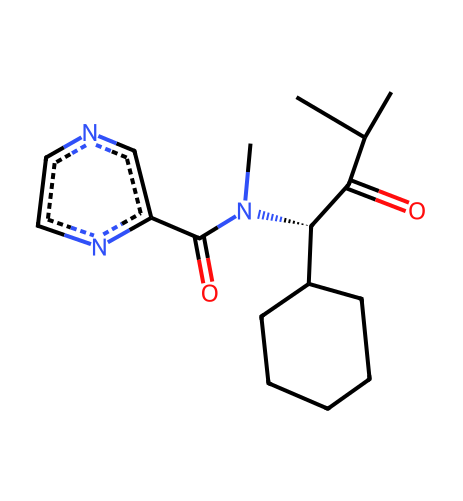 CC(C)C(=O)[C@H](C1CCCCC1)N(C)C(=O)c1cnccn1